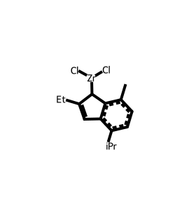 CCC1=Cc2c(C(C)C)ccc(C)c2[CH]1[Zr]([Cl])[Cl]